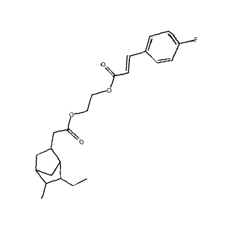 CCC1C(C)C2CC(CC(=O)OCCOC(=O)/C=C/c3ccc(F)cc3)C1C2